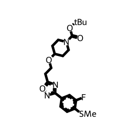 CSc1ccc(-c2noc(CCOC3CCN(C(=O)OC(C)(C)C)CC3)n2)cc1F